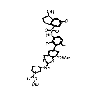 COc1cc(-c2c(F)ccc(NS(=O)(=O)c3cc(Cl)cc4c3CCC4O)c2F)cc2cnc(NC3CCCN(C(=O)OC(C)(C)C)C3)nc12